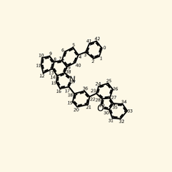 c1ccc(-c2ccc3c4ccccc4c4ccc(-c5cccc(-c6cccc7c6oc6ccccc67)c5)nc4c3c2)cc1